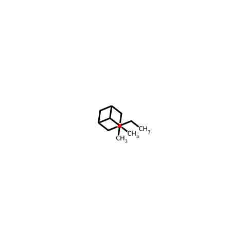 CCC(C)C1C2CC1CN(C)C2